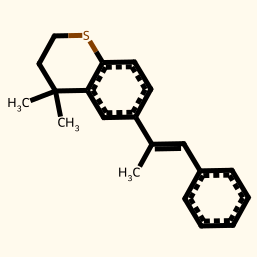 CC(=Cc1ccccc1)c1ccc2c(c1)C(C)(C)CCS2